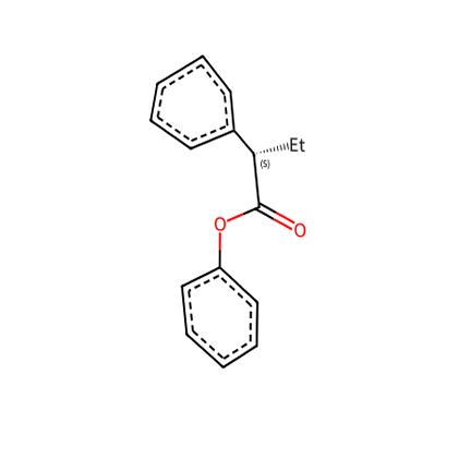 CC[C@H](C(=O)Oc1ccccc1)c1ccccc1